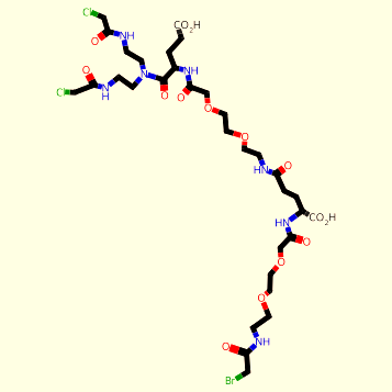 O=C(O)CCC(NC(=O)COCCOCCNC(=O)CCC(NC(=O)COCCOCCNC(=O)CBr)C(=O)O)C(=O)N(CCNC(=O)CCl)CCNC(=O)CCl